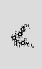 COc1ccc(NC(=O)Nc2cc(Nc3cccc(N4CCN(C)CC4)c3)ncn2)cc1Cl